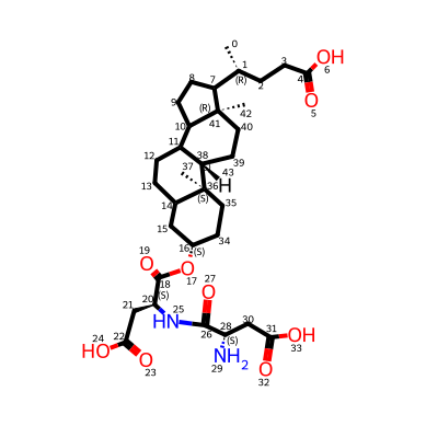 C[C@H](CCC(=O)O)C1CCC2C3CCC4C[C@@H](OC(=O)[C@H](CC(=O)O)NC(=O)[C@@H](N)CC(=O)O)CC[C@]4(C)[C@H]3CC[C@@]21C